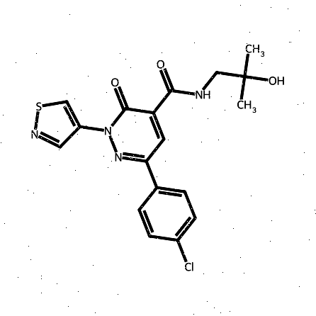 CC(C)(O)CNC(=O)c1cc(-c2ccc(Cl)cc2)nn(-c2cnsc2)c1=O